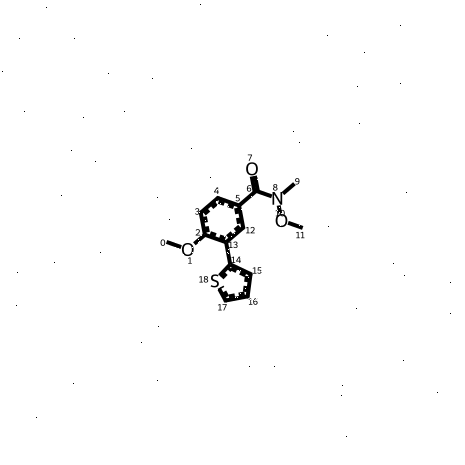 COc1ccc(C(=O)N(C)OC)cc1-c1cccs1